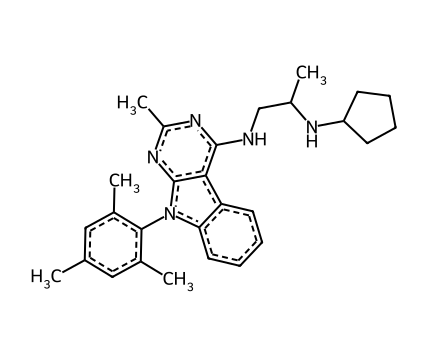 Cc1cc(C)c(-n2c3ccccc3c3c(NCC(C)NC4CCCC4)nc(C)nc32)c(C)c1